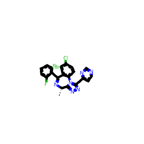 C[C@@H]1N=C(c2c(F)cccc2F)c2c(ccc(Cl)c2Br)-n2c(-c3ccncn3)nnc21